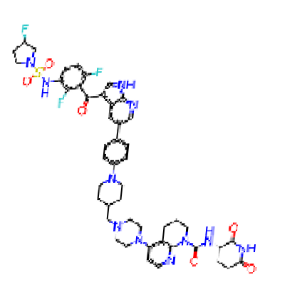 O=C1CC[C@H](NC(=O)N2CCCc3c(N4CCN(CC5CCN(c6ccc(-c7cnc8[nH]cc(C(=O)c9c(F)ccc(NS(=O)(=O)N%10CC[C@@H](F)C%10)c9F)c8c7)cc6)CC5)CC4)ccnc32)C(=O)N1